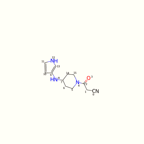 N#CCC(=O)N1CCC(Nc2cc[nH]c2)CC1